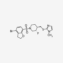 Cn1ccnc1SC[C@@H]1CCN(S(=O)(=O)c2ccc(Br)c3c2OCC3)C[C@H]1F